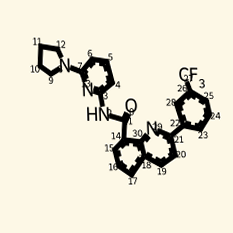 O=C(Nc1cccc(N2CCCC2)n1)c1cccc2ccc(-c3cccc(C(F)(F)F)c3)nc12